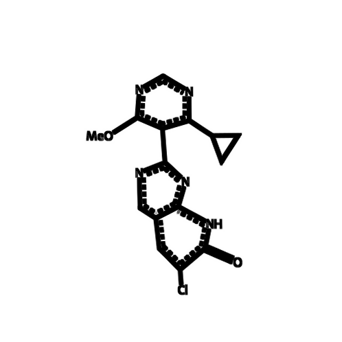 COc1ncnc(C2CC2)c1-c1ncc2cc(Cl)c(=O)[nH]c2n1